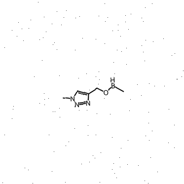 CBOCc1cn(C)nn1